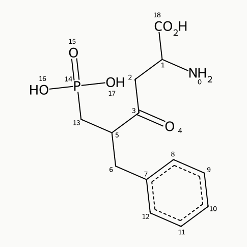 NC(CC(=O)C(Cc1ccccc1)CP(=O)(O)O)C(=O)O